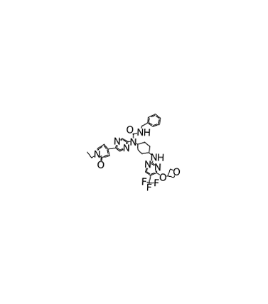 CCn1ccc(-c2cnc(N(C(=O)NCc3ccccc3)C3CCC(Nc4ncc(C(F)(F)F)c(OC5COC5)n4)CC3)cn2)cc1=O